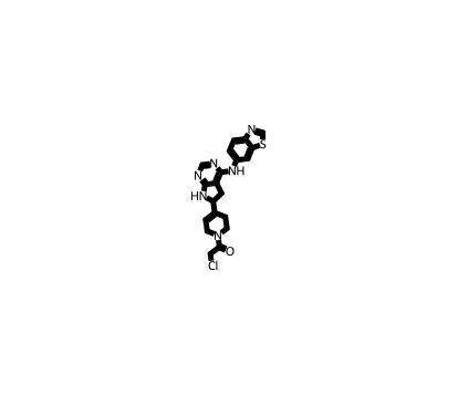 O=C(CCl)N1CC=C(C2Cc3c(Nc4ccc5ncsc5c4)ncnc3N2)CC1